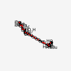 CCCCNC(=O)CNC(=O)[C@H](CCCCNC(=O)COCCOCCOCCOCCOCCOCCOCCOCCOC(=O)Nc1cc(C[C@@H](C[C@H](C)C(=O)O)NC(=O)c2csc([C@@H](C[C@H](C(C)C)N(C)C(=O)[C@@H](NC(=O)[C@H](C(C)C)N(C)C)[C@@H](C)CC)OC(C)=O)n2)ccc1O)NC(=O)CCCN1C(=O)C=CC1=O